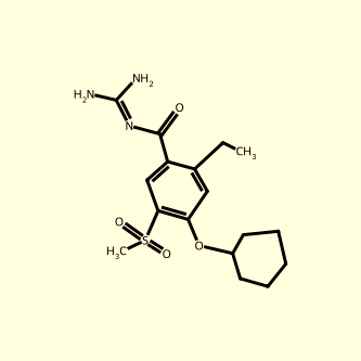 CCc1cc(OC2CCCCC2)c(S(C)(=O)=O)cc1C(=O)N=C(N)N